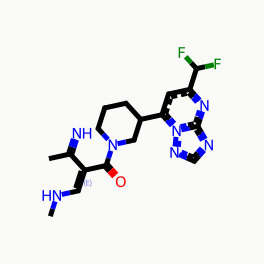 CN/C=C(\C(C)=N)C(=O)N1CCCC(c2cc(C(F)F)nc3ncnn23)C1